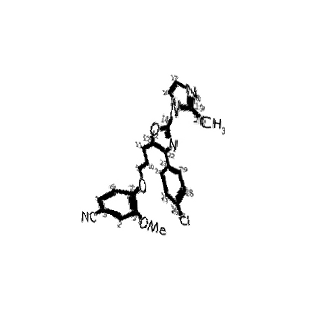 COc1cc(C#N)ccc1OCCCc1oc(-n2ccnc2C)nc1-c1ccc(Cl)cc1